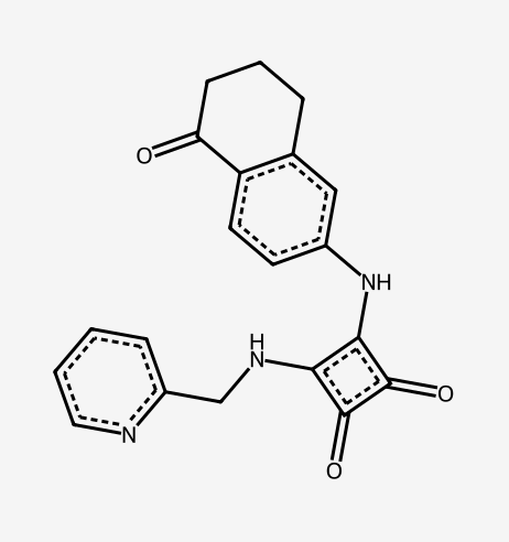 O=C1CCCc2cc(Nc3c(NCc4ccccn4)c(=O)c3=O)ccc21